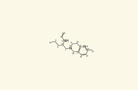 C=CNC(CCC)CN1CCc2nc(C)ccc2C1